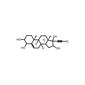 C[C@]12CCC(O)C(O)C1=CC[C@@H]1[C@H]2CC[C@@]2(C)[C@H]1CC(O)C2(O)C#CCl